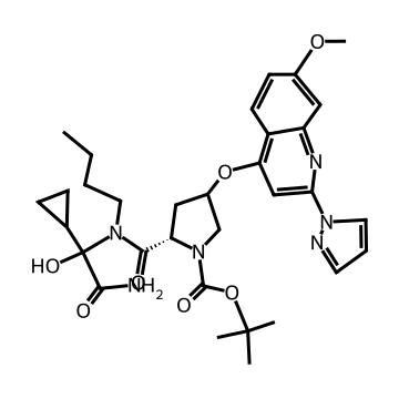 CCCCN(C(=O)[C@@H]1CC(Oc2cc(-n3cccn3)nc3cc(OC)ccc23)CN1C(=O)OC(C)(C)C)C(O)(C(N)=O)C1CC1